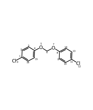 Clc1ccc(OCOc2ccc(Cl)cc2)cc1